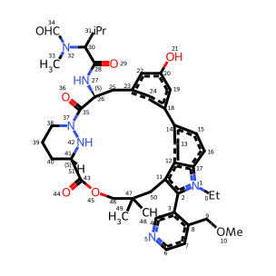 CCn1c(-c2cnccc2COC)c2c3cc(ccc31)-c1cc(O)cc(c1)C[C@H](NC(=O)C(C(C)C)N(C)C=O)C(=O)N1CCC[C@H](N1)C(=O)OCC(C)(C)C2